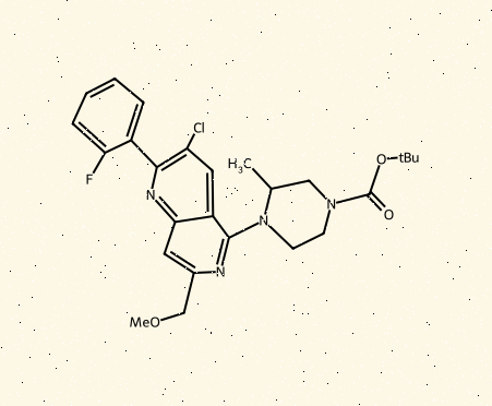 COCc1cc2nc(-c3ccccc3F)c(Cl)cc2c(N2CCN(C(=O)OC(C)(C)C)CC2C)n1